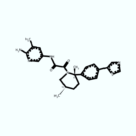 Cc1cc(NC(=O)C(=O)N2C[C@@H](C)CC[C@@]2(C)c2ccc(-c3cncs3)cc2)cnc1N